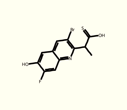 CC(C(O)=S)c1nc2cc(F)c(O)cc2cc1Br